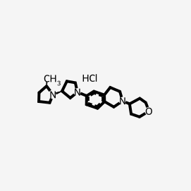 C[C@H]1CCCN1[C@H]1CCN(c2ccc3c(c2)CCN(C2CCOCC2)C3)C1.Cl